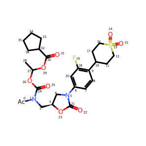 CC(=O)N(C[C@H]1CN(c2ccc(C3CCS(=O)(=O)CC3)c(F)c2)C(=O)O1)C(=O)OC(C)OC(=O)C1CCCC1